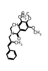 CCN(C/C(C)=C/c1ccccc1)C(=O)c1cc(OC)c(OC)c(OC)c1